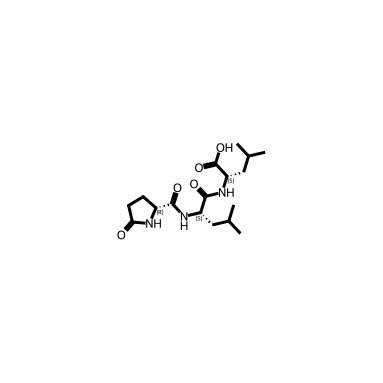 CC(C)C[C@H](NC(=O)[C@H](CC(C)C)NC(=O)[C@H]1CCC(=O)N1)C(=O)O